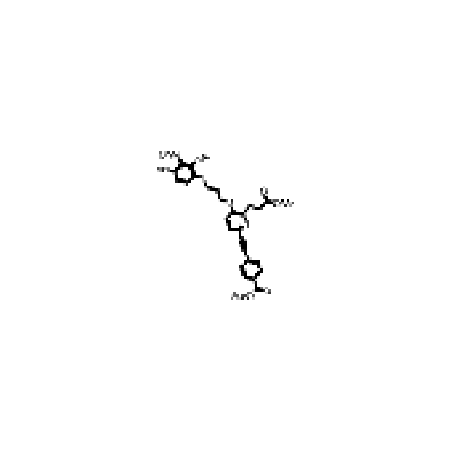 CCCc1c(OCCCOc2ccc(C#Cc3ccc(C(=O)OC)cc3)nc2CCC(=O)OC)ccc(C(C)=O)c1OC